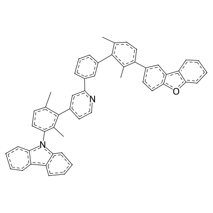 Cc1ccc(-c2ccc3oc4ccccc4c3c2)c(C)c1-c1cccc(-c2cc(-c3c(C)ccc(-n4c5ccccc5c5ccccc54)c3C)ccn2)c1